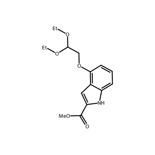 CCOC(COc1cccc2[nH]c(C(=O)OC)cc12)OCC